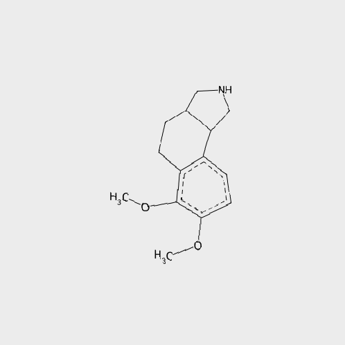 COc1ccc2c(c1OC)CCC1CNCC21